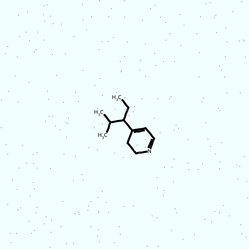 CCC(C1=CC=NCC1)C(C)C